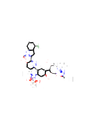 CNC(=O)c1c(-c2nnc(C)o2)oc2cc(N(C)S(C)(=O)=O)c(-c3ccc4c(n3)-c3cc5c(F)cccc5n3CO4)cc12